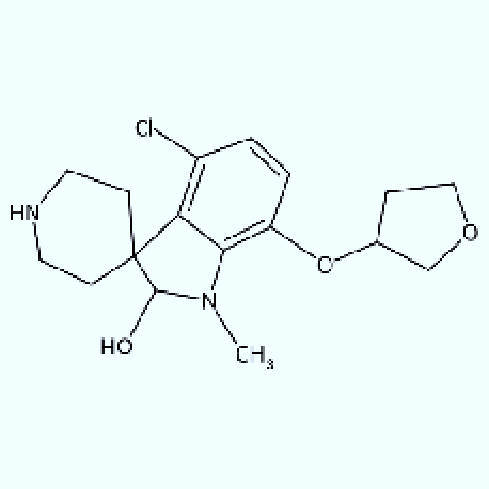 CN1c2c(OC3CCOC3)ccc(Cl)c2C2(CCNCC2)C1O